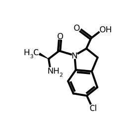 C[C@H](N)C(=O)N1c2ccc(Cl)cc2CC1C(=O)O